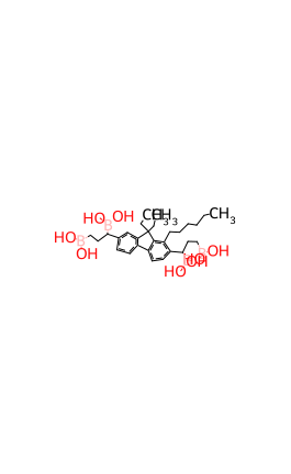 CCCCCCc1c(C(CCB(O)O)B(O)O)ccc2c1C(CC)(CC)c1cc(C(CCB(O)O)B(O)O)ccc1-2